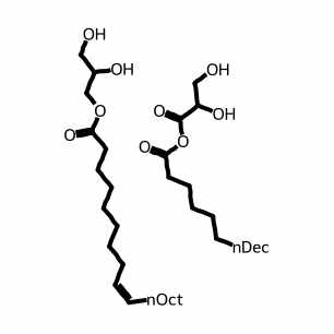 CCCCCCCC/C=C\CCCCCCCC(=O)OCC(O)CO.CCCCCCCCCCCCCCCC(=O)OC(=O)C(O)CO